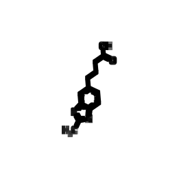 Cc1nc2ccc(CCCC(=O)O)cc2s1